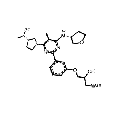 CNCC(O)COc1cccc(-c2nc(N[C@@H]3CCOC3)c(C)c(N3CC[C@H](N(C)C(C)=O)C3)n2)c1